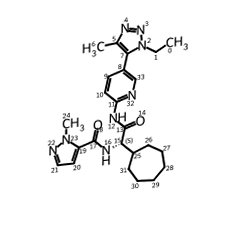 CCn1nnc(C)c1-c1ccc(NC(=O)[C@@H](NC(=O)c2ccnn2C)C2CCCCCC2)nc1